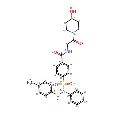 O=C(NCC(=O)N1CCC(O)CC1)c1ccc(S(=O)(=O)N(Oc2ccc(C(F)(F)F)cc2)c2ccccc2)cc1